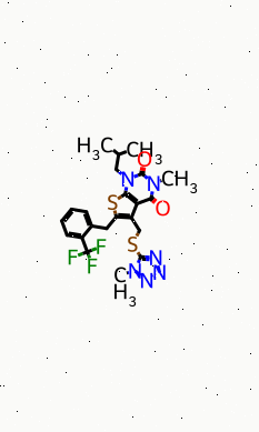 CC(C)Cn1c(=O)n(C)c(=O)c2c(CSc3nnnn3C)c(Cc3ccccc3C(F)(F)F)sc21